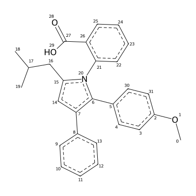 COc1ccc(-c2c(-c3ccccc3)cc(CC(C)C)n2-c2ccccc2C(=O)O)cc1